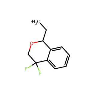 [CH2]CC1OCC(F)(F)c2ccccc21